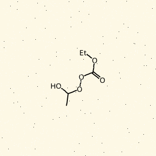 CCOC(=O)OOC(C)O